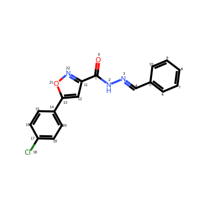 O=C(NN=Cc1ccccc1)c1cc(-c2ccc(Cl)cc2)on1